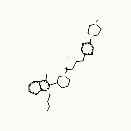 COCCCn1c(C2CCCN(C(=O)C[C@H](N)Cc3ccc(N4CCN(C(C)=O)CC4)cc3)C2)c(C)c2ccccc21